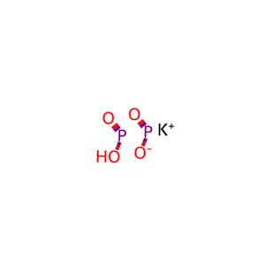 O=PO.O=P[O-].[K+]